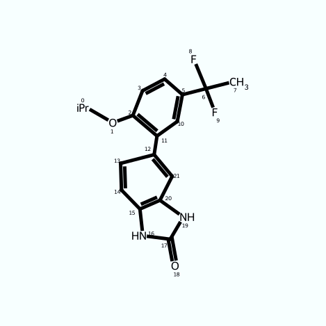 CC(C)Oc1ccc(C(C)(F)F)cc1-c1ccc2[nH]c(=O)[nH]c2c1